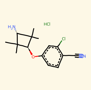 CC1(C)[C@H](N)C(C)(C)[C@H]1Oc1ccc(C#N)c(Cl)c1.Cl